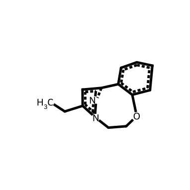 CCc1cc2nn1CCOc1ccccc1-2